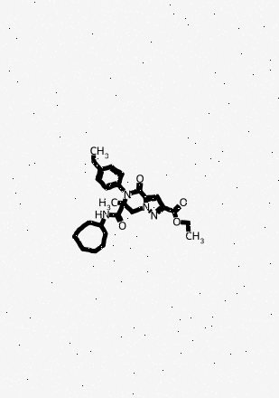 CCOC(=O)c1cc2n(n1)CC(C)(C(=O)NC1CCCCCCC1)N(c1ccc(CC)cc1)C2=O